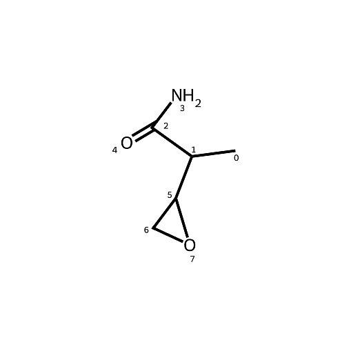 CC(C(N)=O)C1CO1